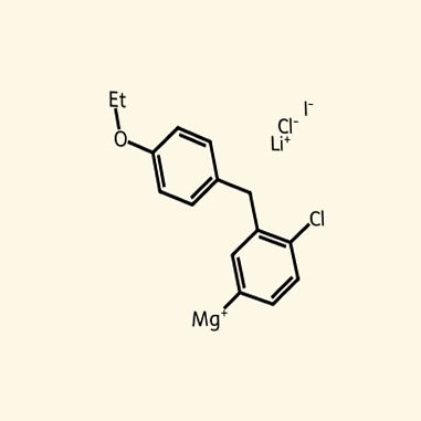 CCOc1ccc(Cc2c[c]([Mg+])ccc2Cl)cc1.[Cl-].[I-].[Li+]